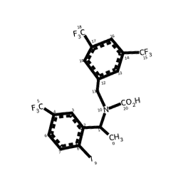 CC(c1cc(C(F)(F)F)ccc1I)N(Cc1cc(C(F)(F)F)cc(C(F)(F)F)c1)C(=O)O